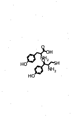 NC(Cc1ccc(O)cc1)C(=O)O.N[C@H](CS)C(=O)c1ccc(O)cc1